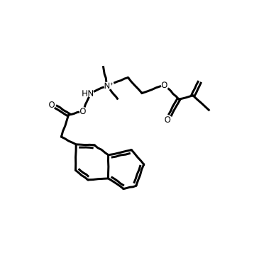 C=C(C)C(=O)OCC[N+](C)(C)NOC(=O)Cc1ccc2ccccc2c1